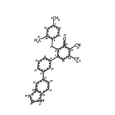 Cc1ccc(Cn2c(-c3cccc(-c4ccc5[nH]cnc5c4)c3)cc(C(F)(F)F)c(C#N)c2=O)c(C)c1